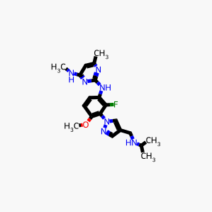 CNc1cc(C)nc(Nc2ccc(OC)c(-n3cc(CNC(C)C)cn3)c2F)n1